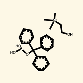 C[N+](C)(C)CCO.OB(O)OC(c1ccccc1)(c1ccccc1)c1ccccc1